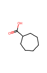 O=C(O)C1[CH]CCCCC1